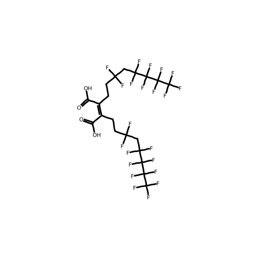 O=C(O)/C(CCC(F)(F)CC(F)(F)C(F)(F)C(F)(F)C(F)(F)F)=C(/CCC(F)(F)CC(F)(F)C(F)(F)C(F)(F)C(F)(F)F)C(=O)O